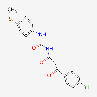 CSc1ccc(NC(=O)NC(=O)CC(=O)c2ccc(Cl)cc2)cc1